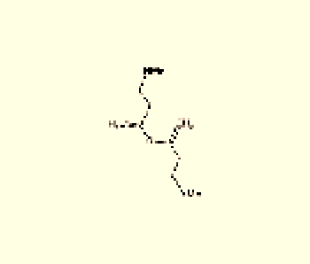 C=C(CCNC)OC(=C)CCNC